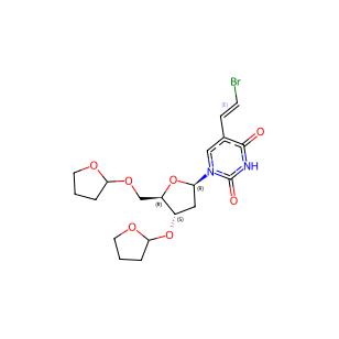 O=c1[nH]c(=O)n([C@H]2C[C@H](OC3CCCO3)[C@@H](COC3CCCO3)O2)cc1/C=C/Br